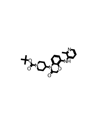 Cc1ncccc1Nc1cccc2c1OCC(=O)N2C1CCN(C(=O)OC(C)(C)C)CC1